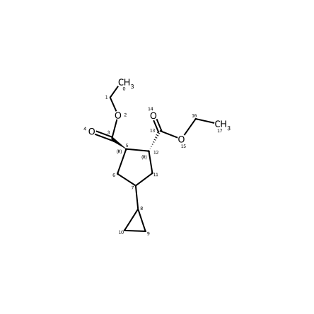 CCOC(=O)[C@@H]1CC(C2CC2)C[C@H]1C(=O)OCC